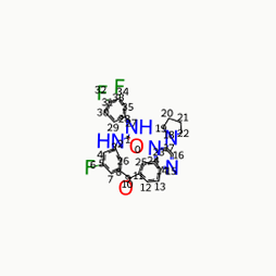 O=C(Nc1cc(F)cc(C(=O)c2ccc3ncc(N4CCCC4)nc3c2)c1)Nc1ccc(F)c(F)c1